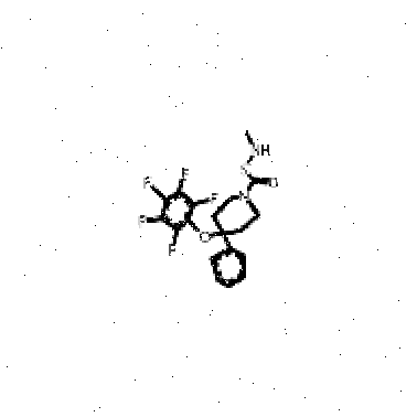 CNSC(=O)N1CCC(Oc2c(F)c(F)c(F)c(F)c2F)(c2ccccc2)CC1